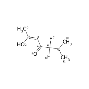 C/C(O)=C/C(=O)C(F)(F)C(C)C